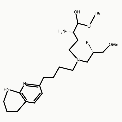 COC[C@@H](F)CN(CCCCc1ccc2c(n1)NCCC2)CC[C@H](N)C(O)OC(C)(C)C